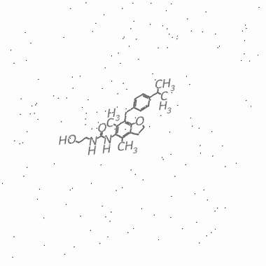 Cc1c2c(c(Cc3ccc(C(C)C)cc3)c(C)c1NC(=O)NCCO)OCC2